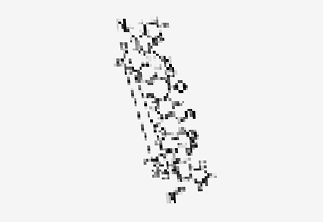 N#Cc1c2c(c(C#N)c3ccccc13)C1CC3=C4C=C1CC1=C2CC2C(=C1)CC1=C(CC5C(=O)C(=O)C6=C(C=C(C4)C(C6)C(=O)C3=O)CC5=C1)c1c2c(C#N)c2ccccc2c1C#N